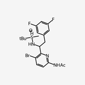 CC(=O)Nc1ccc(Br)c(C(Cc2cc(F)cc(F)c2)N[SH](C)(=O)C(C)(C)C)n1